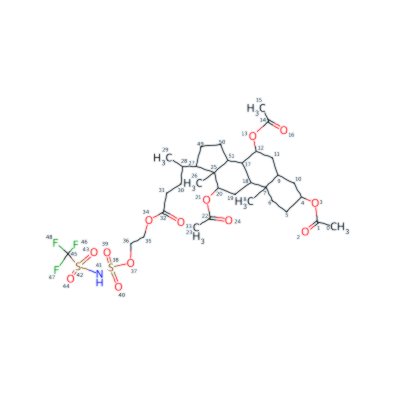 CC(=O)OC1CCC2(C)C(C1)CC(OC(C)=O)C1C2CC(OC(C)=O)C2(C)C(C(C)CCC(=O)OCCOS(=O)(=O)NS(=O)(=O)C(F)(F)F)CCC12